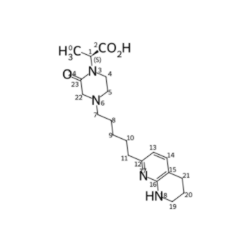 C[C@@H](C(=O)O)N1CCN(CCCCCc2ccc3c(n2)NCCC3)CC1=O